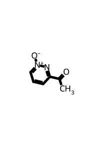 CC(=O)c1ccc[n+]([O-])n1